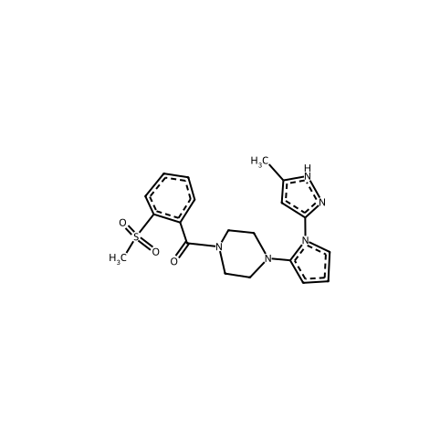 Cc1cc(-n2cccc2N2CCN(C(=O)c3ccccc3S(C)(=O)=O)CC2)n[nH]1